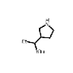 CCC(C1CCNC1)C(C)(C)C